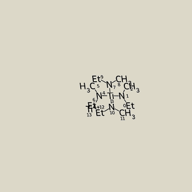 CC[N](C)[Ti]([N](C)CC)([N](C)CC)[N](C)CC.[Ti+4]